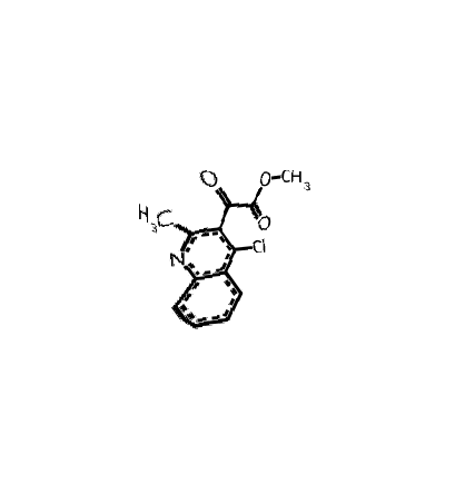 COC(=O)C(=O)c1c(C)nc2ccccc2c1Cl